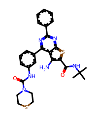 CC(C)(C)NC(=O)c1sc2nc(-c3ccccc3)nc(-c3cccc(NC(=O)N4CCSCC4)c3)c2c1N